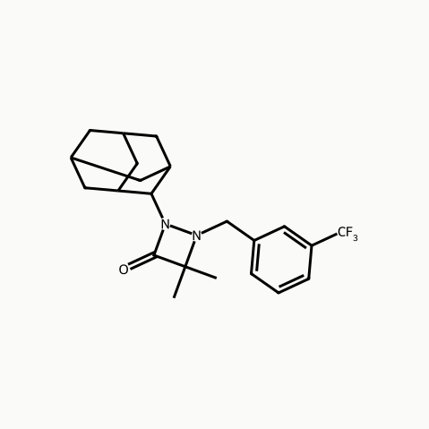 CC1(C)C(=O)N(C2C3CC4CC(C3)CC2C4)N1Cc1cccc(C(F)(F)F)c1